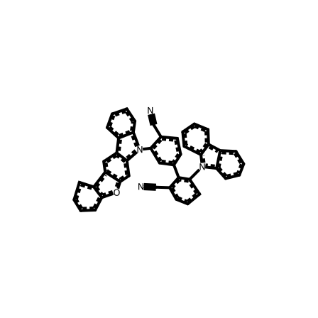 N#Cc1ccc(-c2c(C#N)cccc2-n2c3ccccc3c3ccccc32)cc1-n1c2ccccc2c2cc3c(cc21)oc1ccccc13